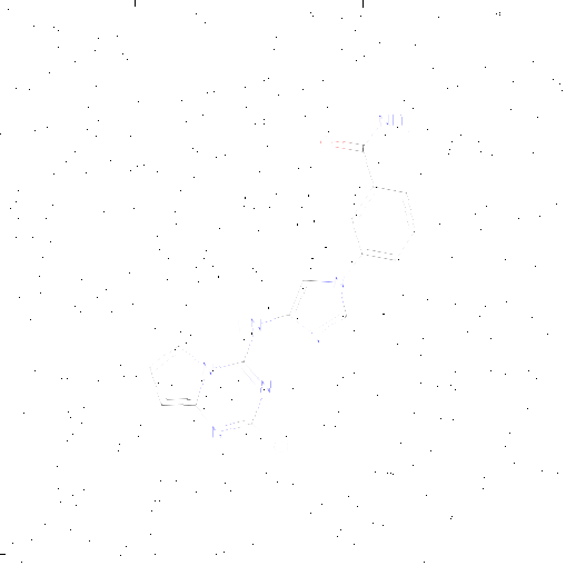 NC(=O)c1cccc(-n2cnc(Nc3nc(Cl)nc4cccn34)c2)c1